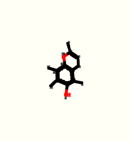 CC1=CCc2c(C)c(O)c(C)c(C)c2O1